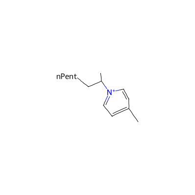 CCCCCCC(C)[n+]1ccc(C)cc1